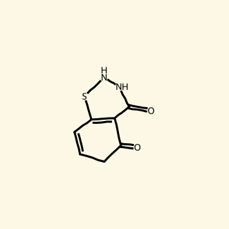 O=C1CC=CC2=C1C(=O)NNS2